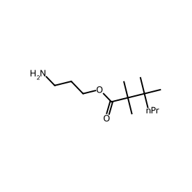 CCCC(C)(C)C(C)(C)C(=O)OCCCN